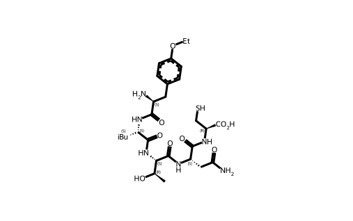 CCOc1ccc(C[C@H](N)C(=O)N[C@H](C(=O)N[C@H](C(=O)N[C@@H](CC(N)=O)C(=O)N[C@@H](CS)C(=O)O)[C@@H](C)O)[C@@H](C)CC)cc1